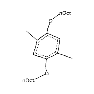 CCCCCCCCOc1cc(C)c(OCCCCCCCC)cc1C